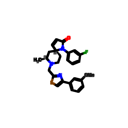 COc1cccc(-c2csc(CN3CC[C@@]4(C=CC(=O)N4c4cccc(F)c4)C[C@H]3C)n2)c1